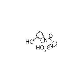 C#Cc1cccc2c1CCN2C(=O)C1CCCN1C(=O)O